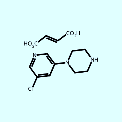 Clc1cncc(N2CCNCC2)c1.O=C(O)/C=C/C(=O)O